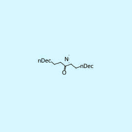 CCCCCCCCCCCCC(=O)CCCCCCCCCCCC.[N]